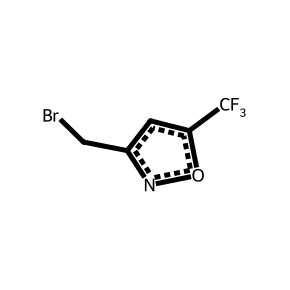 FC(F)(F)c1cc(CBr)no1